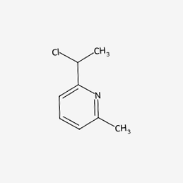 Cc1cccc(C(C)Cl)n1